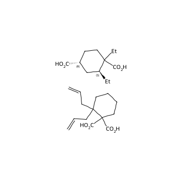 C=CCC1(CC=C)CCCCC1(C(=O)O)C(=O)O.CC[C@H]1C[C@H](C(=O)O)CCC1(CC)C(=O)O